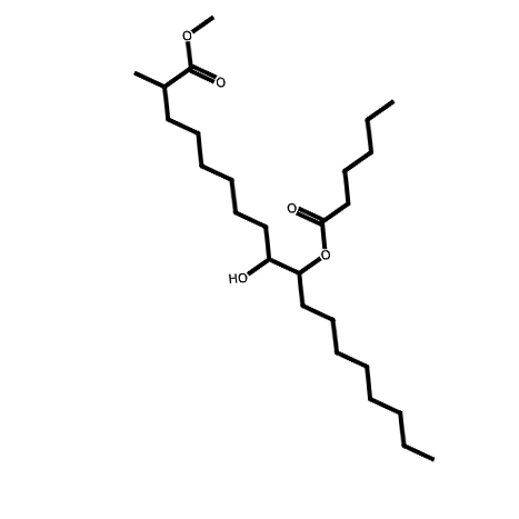 CCCCCCCCC(OC(=O)CCCCC)C(O)CCCCCCC(C)C(=O)OC